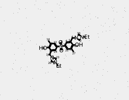 CCN1CN(Cc2cc(S(=O)(=O)c3cc(C)c(O)c(CN4CN(CC)C4)c3)cc(C)c2O)C1